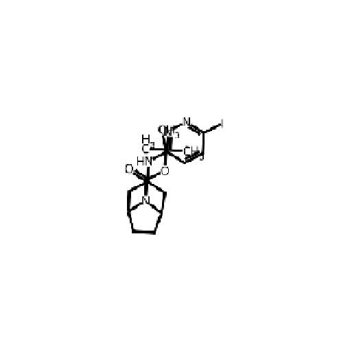 CC(C)(C)OC(=O)N1C2CCC1CC(Nc1ccc(I)nn1)C2